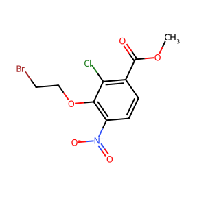 COC(=O)c1ccc([N+](=O)[O-])c(OCCBr)c1Cl